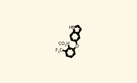 O=C(O)c1c(Oc2ccc3[nH]ccc3c2)cccc1C(F)(F)F